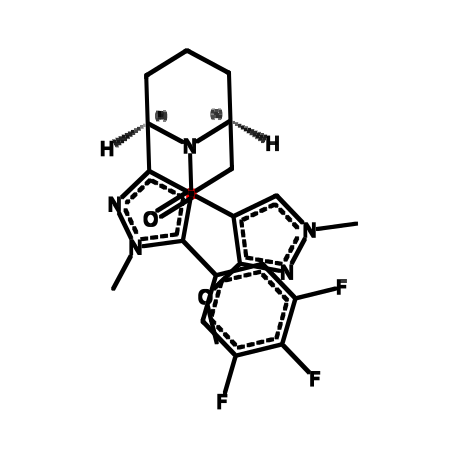 COc1nn(C)cc1C(=O)N1[C@H]2CCC[C@@H]1c1nn(C)c(-c3cc(F)c(F)c(F)c3)c1C2